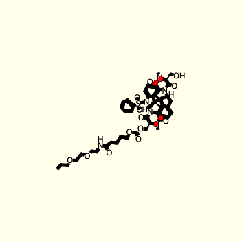 CCCOCCOCCNC(=O)CCCCOC(=O)OC[C@]12SS[C@@]3(C[C@]4([C@]56C[C@@]78SS[C@@](CO)(C(=O)N7[C@H]5Cc5ccccc56)N(C)C8=O)c5ccccc5N(S(=O)(=O)c5ccccc5)[C@@H]4N3C1=O)C(=O)N2C